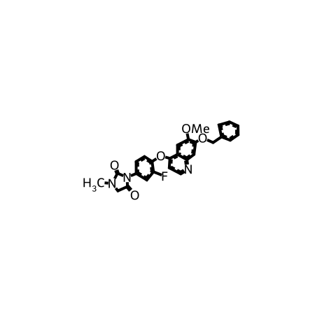 COc1cc2c(Oc3ccc(N4C(=O)CN(C)C4=O)cc3F)ccnc2cc1OCc1ccccc1